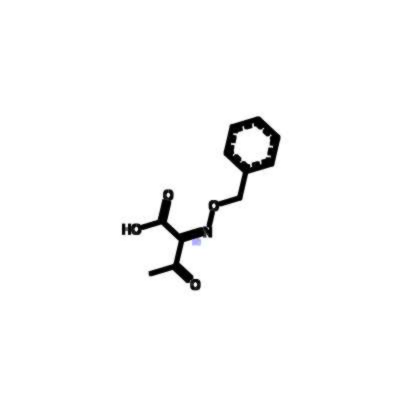 CC(=O)/C(=N/OCc1ccccc1)C(=O)O